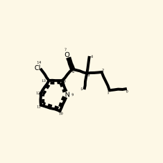 CCCC(C)(C)C(=O)c1ncccc1Cl